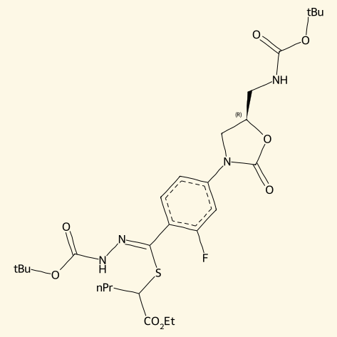 CCCC(SC(=NNC(=O)OC(C)(C)C)c1ccc(N2C[C@@H](CNC(=O)OC(C)(C)C)OC2=O)cc1F)C(=O)OCC